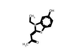 CCN1/C(=C/C(C)=O)Sc2ccc(O)cc21